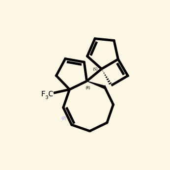 FC(F)(F)C12/C=C\CCCC[C@]1([C@@]13C=CCC1=CC3)C=CC2